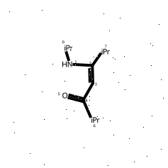 CC(C)N/C(=C\C(=O)C(C)C)C(C)C